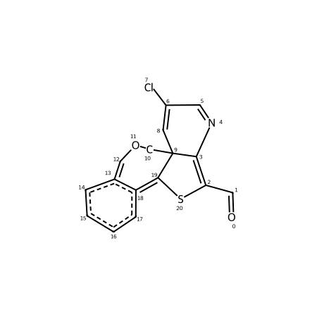 O=CC1=C2N=CC(Cl)=CC23COC=c2ccccc2=C3S1